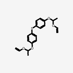 C=COC(C)Oc1ccc(Sc2ccc(OC(C)OC=C)cc2)cc1